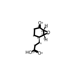 O=C(O)CC[C@H]1CCC(=O)[C@@H]2O[C@H]12